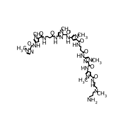 CN(CCCN)CCCNC(=O)c1cc(NC(=O)c2nc(NC(=O)CCNC(=O)c3cc(NC(=O)c4nc(NC(=O)CCNC(=O)c5cc(NC(=O)c6nccn6C)cn5C)cn4C)cn3C)cn2C)cn1C